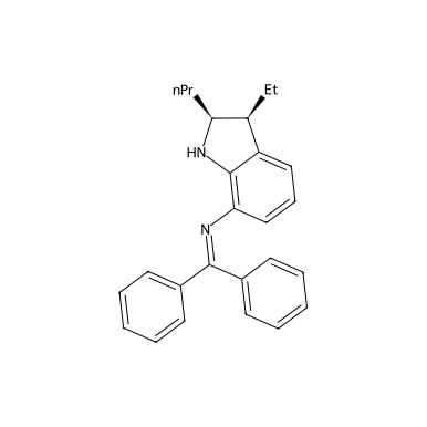 CCC[C@@H]1Nc2c(N=C(c3ccccc3)c3ccccc3)cccc2[C@@H]1CC